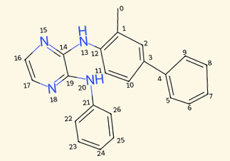 Cc1cc(-c2ccccc2)ccc1Nc1nccnc1Nc1ccccc1